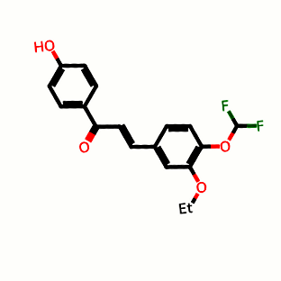 CCOc1cc(/C=C/C(=O)c2ccc(O)cc2)ccc1OC(F)F